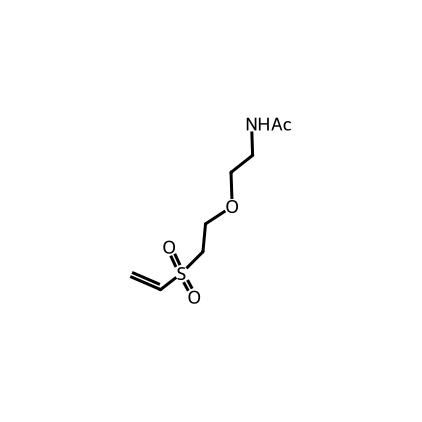 C=CS(=O)(=O)CCOCCNC(C)=O